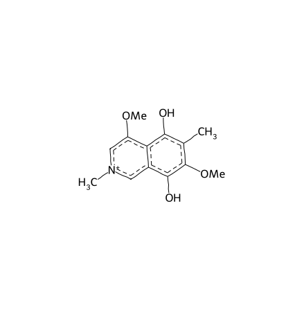 COc1c(C)c(O)c2c(OC)c[n+](C)cc2c1O